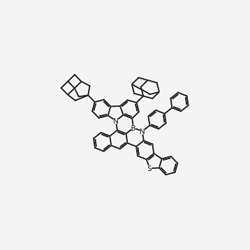 c1ccc(-c2ccc(N3B4c5c(cc6ccccc6c5-n5c6ccc(C78CC9CC%10CC(C7)C%109C8)cc6c6cc(C78CC9CC(CC(C9)C7)C8)cc4c65)-c4cc5sc6ccccc6c5cc43)cc2)cc1